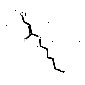 CCCCCCSC(F)=CCO